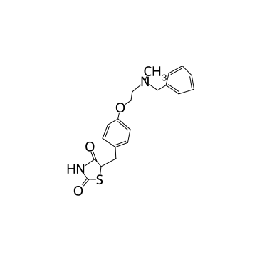 CN(CCOc1ccc(CC2SC(=O)NC2=O)cc1)Cc1ccccc1